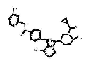 CC1CCC(c2nc(-c3ccc(C(=O)Nc4cc(C(F)(F)F)ccn4)cc3)c3c(N)nccn23)CN1C(=O)C1CC1